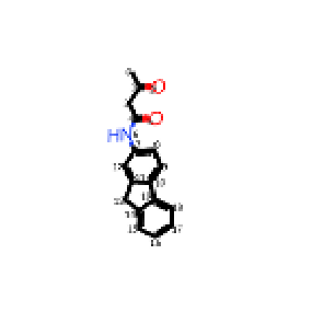 CC(=O)CC(=O)Nc1ccc2c(c1)[CH]c1ccccc1-2